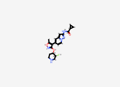 Cc1onc(O[C@@H]2CCNC[C@@H]2F)c1-c1ccn2nc(NC(=O)C3CC3)cc2c1